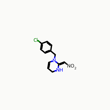 O=[N+]([O-])C=C1NCC=CN1Cc1ccc(Cl)cc1